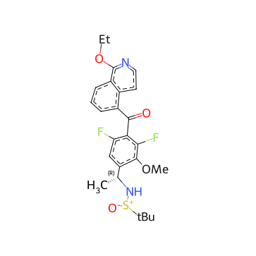 CCOc1nccc2c(C(=O)c3c(F)cc([C@@H](C)N[S+]([O-])C(C)(C)C)c(OC)c3F)cccc12